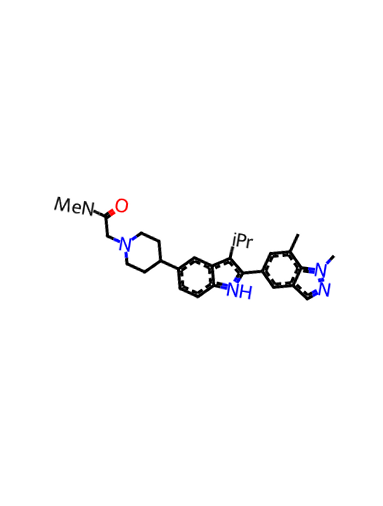 CNC(=O)CN1CCC(c2ccc3[nH]c(-c4cc(C)c5c(cnn5C)c4)c(C(C)C)c3c2)CC1